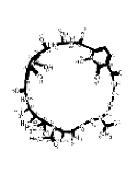 CC(=O)N1CCCNC(=O)c2ccc(n(O)c2=O)C(=O)NC(C)NC(=O)c2ccc(c(=O)n2O)C(=O)NC(C)C(C)C(C)(C)N(C(C)=O)C(C)C(C)CC1